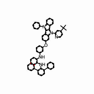 CC(C)(C)c1ccnc(-n2c3cc(Oc4cccc(Nc5ccccc5Nc5c(-c6ccccc6)cccc5-c5ccccc5)c4)ccc3c3c2c2ccccc2n3-c2ccccc2)c1